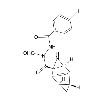 O=CN(NC(=O)c1ccc(I)cc1)C(=O)[C@@]12N[C@H]1C1C=CC2[C@@H]2C[C@@H]12